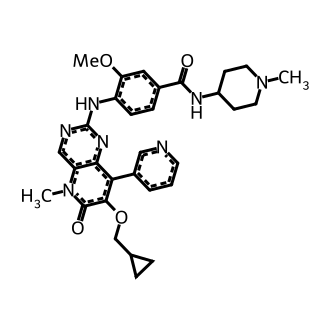 COc1cc(C(=O)NC2CCN(C)CC2)ccc1Nc1ncc2c(n1)c(-c1cccnc1)c(OCC1CC1)c(=O)n2C